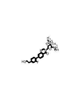 C[C@@](CCn1cnc2cc(-c3ccc(CCO)cc3F)ccc2c1=O)(C(=O)NO)S(C)(=O)=O